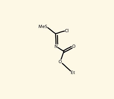 CCOC(=O)N=C(Cl)SC